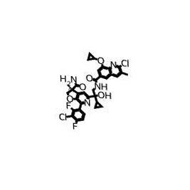 Cc1cc2cc(C(=O)NCC(O)(c3cc4c(c(-c5ccc(F)c(Cl)c5F)n3)OC[C@]4(C)C(N)=O)C3CC3)cc(OC3CC3)c2nc1Cl